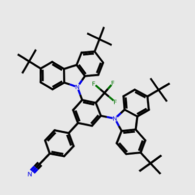 CC(C)(C)c1ccc2c(c1)c1cc(C(C)(C)C)ccc1n2-c1cc(-c2ccc(C#N)cc2)cc(-n2c3ccc(C(C)(C)C)cc3c3cc(C(C)(C)C)ccc32)c1C(F)(F)F